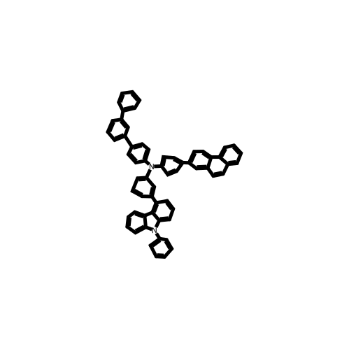 c1ccc(-c2cccc(-c3ccc(N(c4ccc(-c5ccc6c(ccc7ccccc76)c5)cc4)c4cccc(-c5cccc6c5c5ccccc5n6-c5ccccc5)c4)cc3)c2)cc1